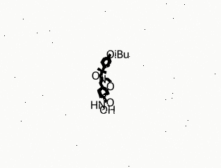 CC(C)COc1ccc(C(C)(C)C(=O)N2CCOc3cc(C(=O)NO)ccc3C2)cc1